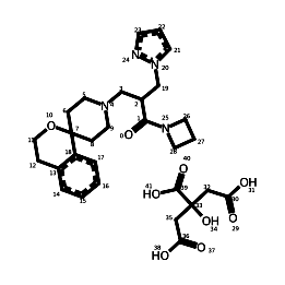 O=C(C(CN1CCC2(CC1)OCCc1ccccc12)Cn1cccn1)N1CCC1.O=C(O)CC(O)(CC(=O)O)C(=O)O